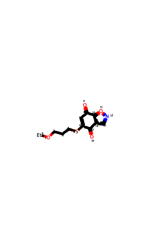 CCOCCCSC1=CC(=O)c2oncc2C1=O